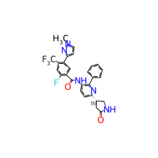 Cn1ccc(-c2cc(C(=O)Nc3ccc([C@@H]4CNC(=O)C4)nc3-c3ccccc3)c(F)cc2C(F)(F)F)n1